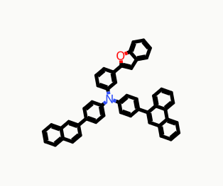 c1cc(-c2cc3ccccc3o2)cc(N(c2ccc(-c3ccc4ccccc4c3)cc2)c2ccc(-c3cc4ccccc4c4ccccc34)cc2)c1